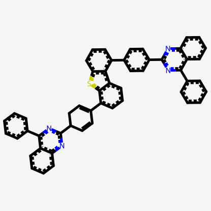 C1=CC(c2nc(-c3ccccc3)c3ccccc3n2)CC=C1c1cccc2c1sc1cccc(-c3ccc(-c4nc(-c5ccccc5)c5ccccc5n4)cc3)c12